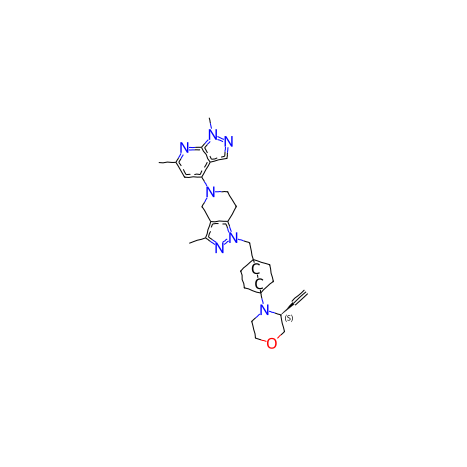 C#C[C@H]1COCCN1C12CCC(Cn3nc(C)c4c3CCN(c3cc(C)nc5c3cnn5C)C4)(CC1)CC2